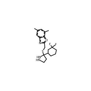 Cc1cc(C)c2oc(CSC3(C4CCCC(F)(F)C4)CCNN3)nc2c1